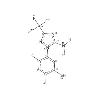 Cc1cc(C)c(-n2nc(C(F)(F)F)nc2N(C)C)cc1S